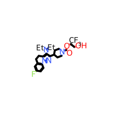 CCN(CC)c1c(C2CCN(C(=O)OC(CO)C(F)(F)F)CC2)nn2c1CCc1cc(F)ccc1-2